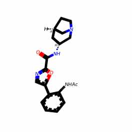 CC(=O)Nc1ccccc1-c1cnc(C(=O)N[C@@H]2C[C@H]3CCN(C3)C2)o1